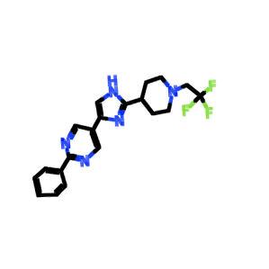 FC(F)(F)CN1CCC(c2nc(-c3cnc(-c4ccccc4)nc3)c[nH]2)CC1